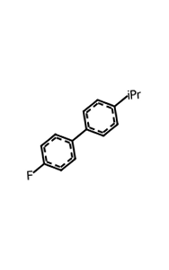 CC(C)c1ccc(-c2ccc(F)cc2)cc1